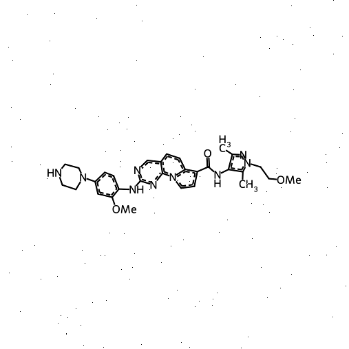 COCCn1nc(C)c(NC(=O)c2ccn3c2ccc2cnc(Nc4ccc(N5CCNCC5)cc4OC)nc23)c1C